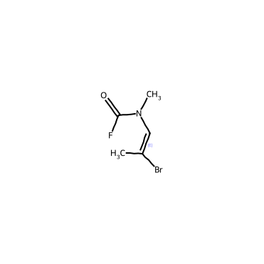 C/C(Br)=C\N(C)C(=O)F